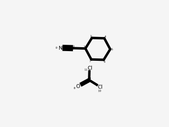 N#CC1CCCCC1.O=C(Cl)Cl